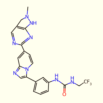 CN1Cc2cnc(-c3ccn4c(-c5cccc(NC(=O)NCC(F)(F)F)c5)cnc4c3)nc2N1